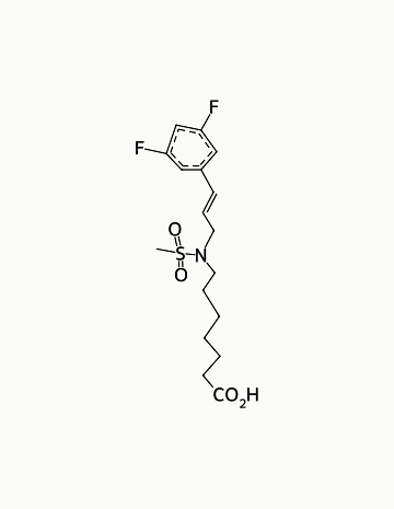 CS(=O)(=O)N(C/C=C/c1cc(F)cc(F)c1)CCCCCCC(=O)O